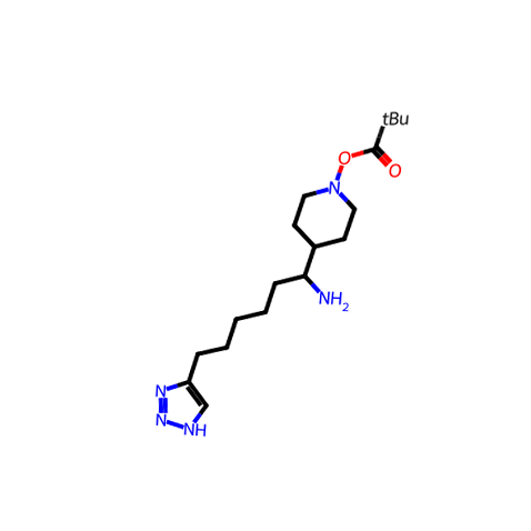 CC(C)(C)C(=O)ON1CCC(C(N)CCCCCc2c[nH]nn2)CC1